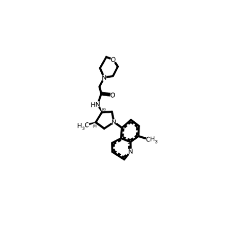 Cc1ccc(N2C[C@@H](C)[C@@H](NC(=O)CN3CCOCC3)C2)c2cccnc12